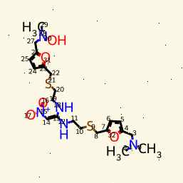 CN(C)Cc1ccc(CSCCN/C(=C/[N+](=O)[O-])NCCSCc2ccc(CN(C)O)o2)o1